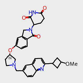 COC1CC(c2ccc3cc(CN4CC[C@H](Oc5ccc6c(c5)CN(C5CCC(=O)NC5=O)C6=O)C4)ccc3n2)C1